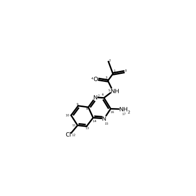 C=C(C)C(=O)Nc1nc2ccc(Cl)cc2nc1N